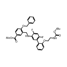 COC(=O)c1ccc(OCc2ccccc2)c(CNc2cc(-c3ccccc3OCCNC(=O)OC(C)(C)C)c(F)cc2F)c1